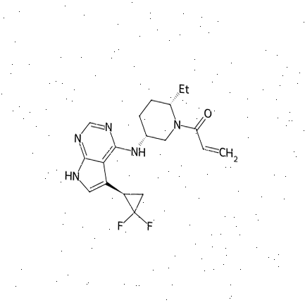 C=CC(=O)N1C[C@H](Nc2ncnc3[nH]cc([C@H]4CC4(F)F)c23)CC[C@@H]1CC